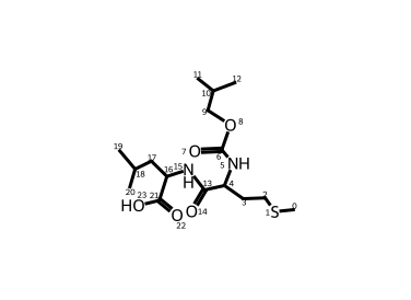 CSCCC(NC(=O)OCC(C)C)C(=O)NC(CC(C)C)C(=O)O